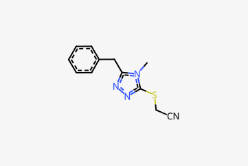 Cn1c(Cc2ccccc2)nnc1SCC#N